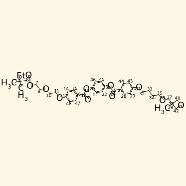 CCC(C)(C)C(=O)OCCOCCOc1ccc(C(=O)Oc2ccc(OC(=O)c3ccc(OCCCCOCC4(C)COC4)cc3)cc2)cc1